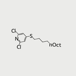 CCCCCCCCCCCCSc1cc(Cl)nc(Cl)c1